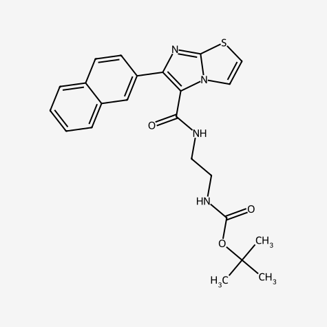 CC(C)(C)OC(=O)NCCNC(=O)c1c(-c2ccc3ccccc3c2)nc2sccn12